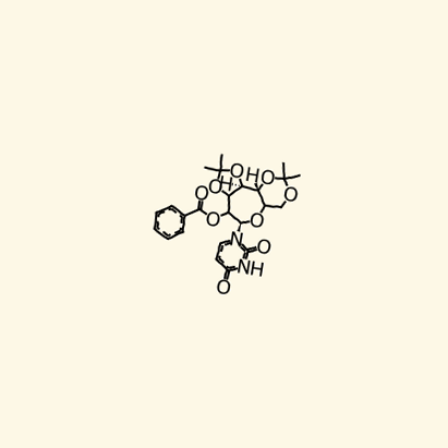 CC1(C)OCC2O[C@@H](n3ccc(=O)[nH]c3=O)C(OC(=O)c3ccccc3)C3OC(C)(C)O[C@H]3[C@@H]2O1